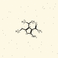 CCc1sc(N)c(C(C)=O)c1C(C)C